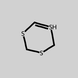 C1=[SH]CSCS1